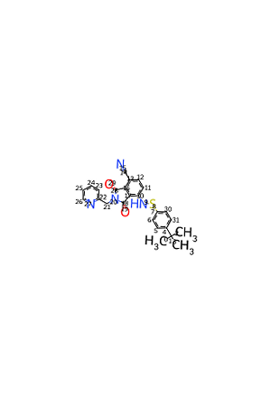 CC(C)(C)c1ccc(SNc2ccc(C#N)c3c2C(=O)N(Cc2ccccn2)C3=O)cc1